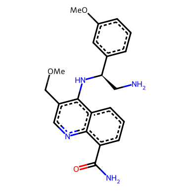 COCc1cnc2c(C(N)=O)cccc2c1N[C@H](CN)c1cccc(OC)c1